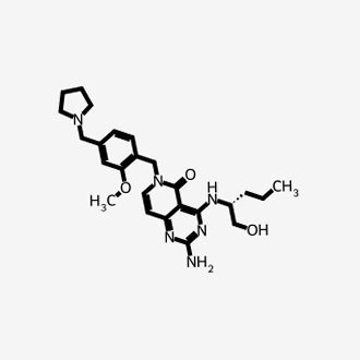 CCC[C@H](CO)Nc1nc(N)nc2ccn(Cc3ccc(CN4CCCC4)cc3OC)c(=O)c12